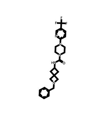 O=C(NC1CC2(C1)CN(Cc1ccccc1)C2)N1CCN(c2ccc(C(F)(F)F)cn2)CC1